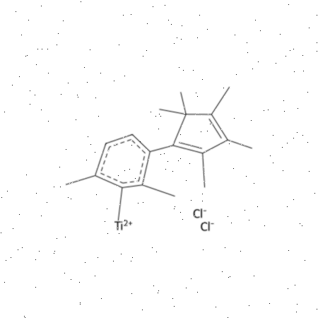 CC1=C(C)C(C)(C)C(c2ccc(C)[c]([Ti+2])c2C)=C1C.[Cl-].[Cl-]